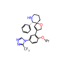 CC(C)Oc1ccc(-n2cnnc2C(F)(F)F)cc1C1=C[C@@]2(CCCN[C@H]2c2ccccc2)OC1